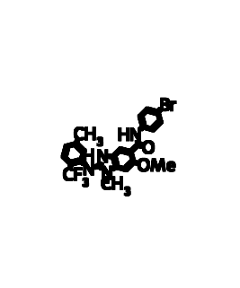 COc1cc2c(cc1C(=O)Nc1ccc(Br)cc1)nc(Nc1cc(C)ccc1C(F)(F)F)n2C